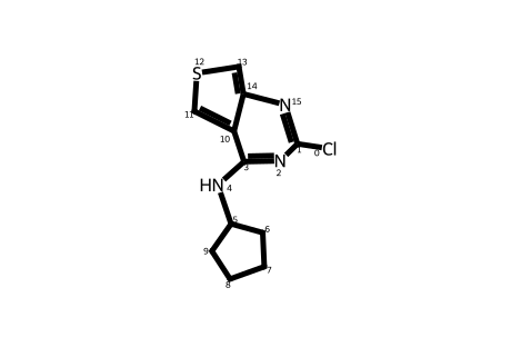 Clc1nc(NC2CCCC2)c2cscc2n1